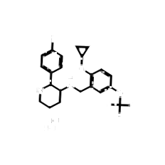 Cl.Cl.Fc1ccc(C2NCCCC2NCc2cc(OC(F)(F)F)ccc2OC2CC2)cc1